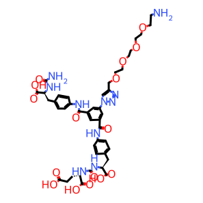 NCCOCCOCCOCCOCc1cn(-c2cc(C(=O)Nc3ccc(C[C@H](NC(N)=O)C(=O)O)cc3)cc(C(=O)Nc3ccc(C[C@H](NC(=O)N[C@@H](CCC(=O)O)C(=O)O)C(=O)O)cc3)c2)nn1